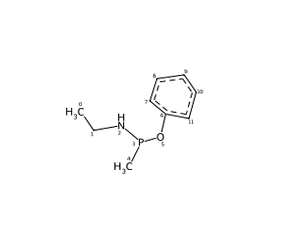 CCNP(C)Oc1ccccc1